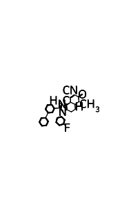 C[C@H]1C(=O)C(C#N)=C[C@@]2(C)c3nc(-c4cccc(-c5ccccc5)c4)n(-c4cccc(F)c4)c3CC[C@H]12